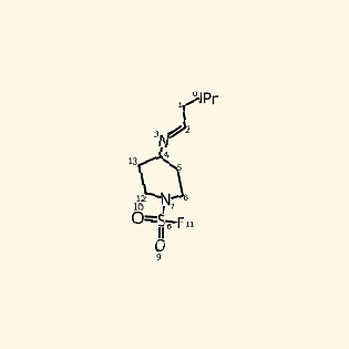 CC(C)C/C=N/C1CCN(S(=O)(=O)F)CC1